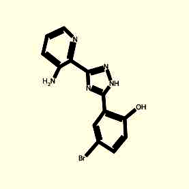 Nc1cccnc1-c1n[nH]c(-c2cc(Br)ccc2O)n1